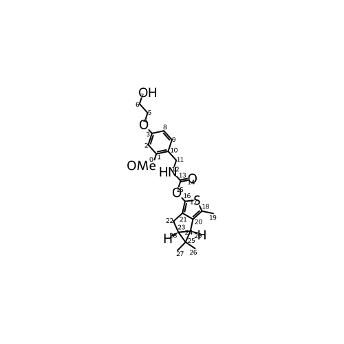 COc1cc(OCCO)ccc1CNC(=O)Oc1sc(C)c2c1C[C@@H]1[C@H]2C1(C)C